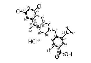 C[C@H]1CN(Cc2cc(F)c(C(=O)O)cc2C2CC2)CCN1[C@@H](C)c1cc(Cl)cc(Cl)c1.Cl